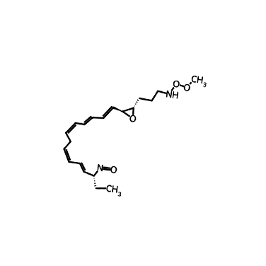 CC[C@H](/C=C/C=C\C\C=C/C=C/C=C/[C@@H]1O[C@H]1CCCNOOC)N=O